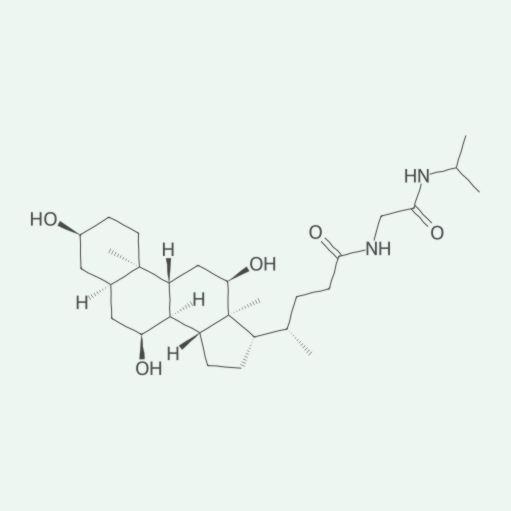 CC(C)NC(=O)CNC(=O)CC[C@H](C)[C@@H]1CC[C@@H]2[C@@H]3[C@@H](C[C@@H](O)[C@]21C)[C@]1(C)CC[C@H](O)C[C@@H]1C[C@@H]3O